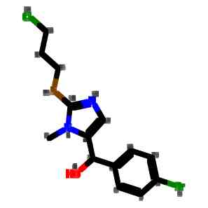 Cn1c(C(O)c2ccc(Br)cc2)cnc1SCCCCl